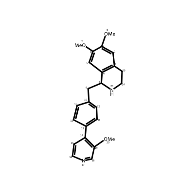 COc1cc2c(cc1OC)C(Cc1ccc(-c3ccncc3OC)cc1)NCC2